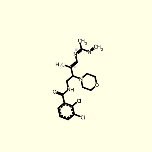 C=N/C(C)=N\C=C(/C)C(CNC(=O)c1cccc(Cl)c1Cl)N1CCOCC1